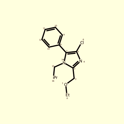 CCOCc1nc(Cl)c(-c2ccccc2)n1CC(C)C